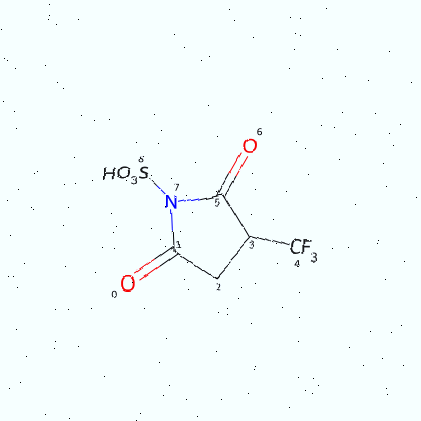 O=C1CC(C(F)(F)F)C(=O)N1S(=O)(=O)O